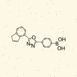 OB(O)c1ccc(-c2nnc(-c3cccc4c3C=CC4)o2)cc1